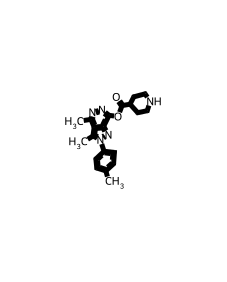 Cc1ccc(-n2nc3c(OC(=O)C4CCNCC4)nnc(C)c3c2C)cc1